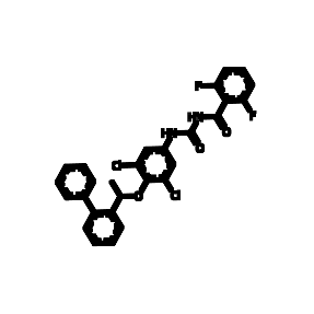 CC(Oc1c(Cl)cc(NC(=O)NC(=O)c2c(F)cccc2F)cc1Cl)c1ccccc1-c1ccccc1